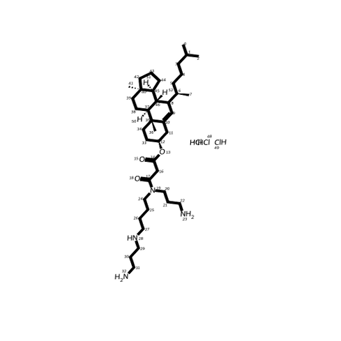 CC(C)CCC[C@@H](C)C1C=C2C[C@@H](OC(=O)CC(=O)N(CCCN)CCCCNCCCN)CC[C@]2(C)[C@H]2CC[C@@]3(C)CCC[C@H]3[C@H]12.Cl.Cl.Cl